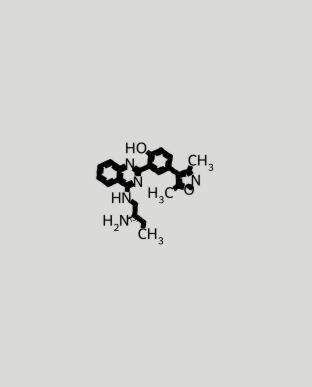 CC[C@H](N)CNc1nc(-c2cc(-c3c(C)noc3C)ccc2O)nc2ccccc12